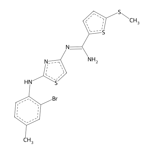 CSc1ccc(C(N)=Nc2csc(Nc3ccc(C)cc3Br)n2)s1